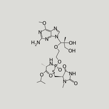 COc1nc(N)nc2c1ncn2C(OCCOP(=O)(N[C@@H](C)C(=O)OC(C)C)SC[C@H]1C(=O)NC(=O)N1C)[C@](C)(O)CO